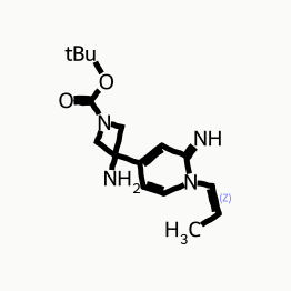 C/C=C\n1ccc(C2(N)CN(C(=O)OC(C)(C)C)C2)cc1=N